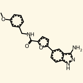 COc1cccc(CNC(=O)c2ccc(-c3ccc4[nH]nc(N)c4c3)o2)c1